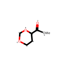 COC(=O)C1CCOCO1